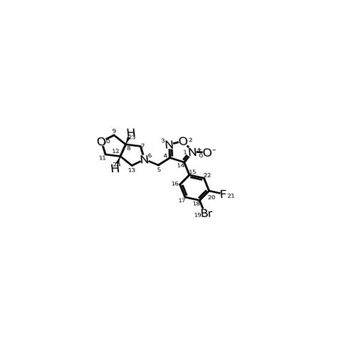 [O-][n+]1onc(CN2C[C@H]3COC[C@H]3C2)c1-c1ccc(Br)c(F)c1